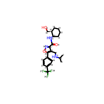 CC(C)NCc1c(C(=O)N[C@@H]2CCCC[C@@H]2CO)noc1-c1ccc(C(F)(F)F)cc1